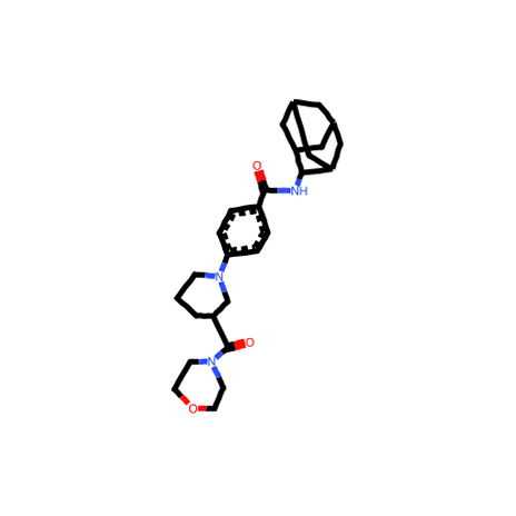 O=C(NC1C2CC3CC(C2)CC1C3)c1ccc(N2CCCC(C(=O)N3CCOCC3)C2)cc1